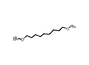 CC(C)(C)OCCCCCCCCCOC(C)(C)C